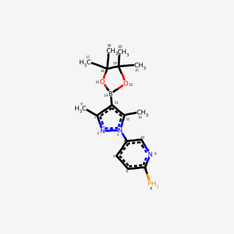 Cc1nn(-c2ccc(P)nc2)c(C)c1B1OC(C)(C)C(C)(C)O1